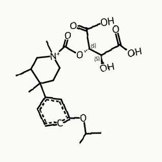 CC(C)Oc1cccc(C2(C)CC[N+](C)(C(=O)O[C@H](C(=O)O)[C@H](O)C(=O)O)CC2C)c1